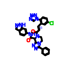 O=C(Nc1ccc2cn[nH]c2c1)C1c2nnc(-c3ccccc3)n2CCN1C(=O)/C=C/c1cc(Cl)ccc1-n1cnnn1